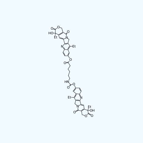 CCc1c2c(nc3ccc(OC(=O)CCCCCNC(=O)Oc4ccc5nc6c(c(CC)c5c4)Cn4c-6cc5c(c4=O)COC(=O)C5(O)CC)cc13)-c1cc3c(c(=O)n1C2)COC(=O)C3(O)CC